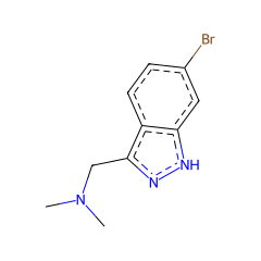 CN(C)Cc1n[nH]c2cc(Br)ccc12